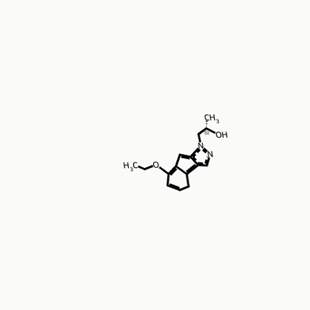 CCOC1=C2C=c3c(cnn3C[C@H](C)O)=C2CC=C1